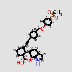 CS(=O)(=O)c1ccc(OCc2ccc(C#Cc3cccc(C(=O)O)c3-c3ccc4cc[nH]c4c3)cc2)cc1